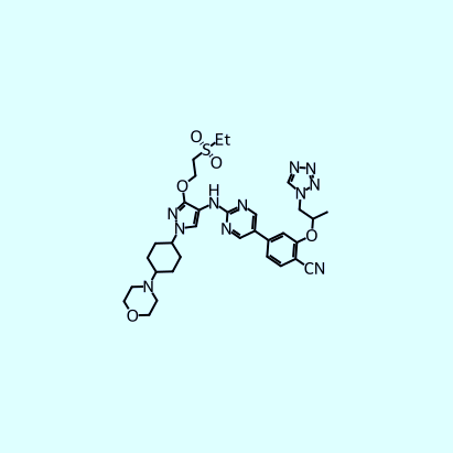 CCS(=O)(=O)CCOc1nn(C2CCC(N3CCOCC3)CC2)cc1Nc1ncc(-c2ccc(C#N)c(OC(C)Cn3cnnn3)c2)cn1